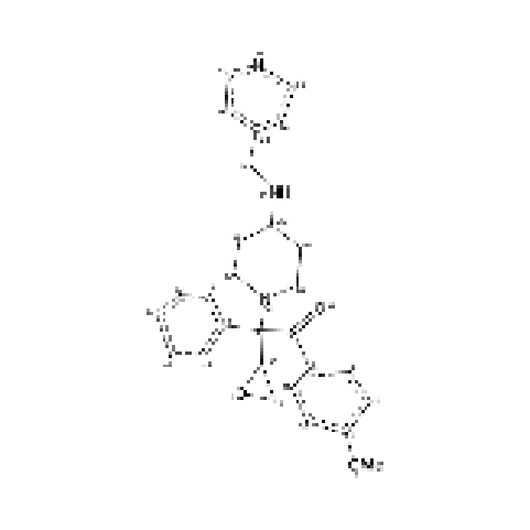 COc1ccc(C(=O)C(c2ccccc2)(C2CO2)N2CCC(NCc3ccncc3)CC2)cc1